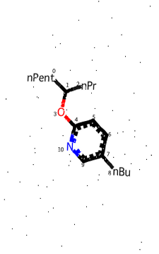 CCCCCC(CCC)Oc1ccc(CCCC)cn1